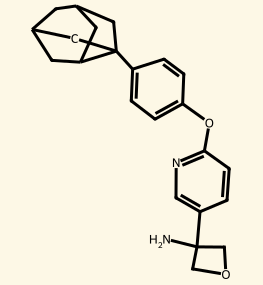 NC1(c2ccc(Oc3ccc(C45CC6CC(CC4C6)C5)cc3)nc2)COC1